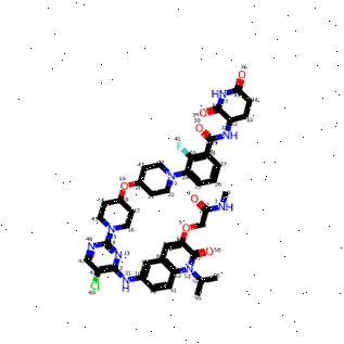 CNC(=O)COc1cc2cc(Nc3nc(N4CCC(OC5CCN(c6cccc(C(=O)NC7CCC(=O)NC7=O)c6F)CC5)CC4)ncc3Cl)ccc2n(C(C)C)c1=O